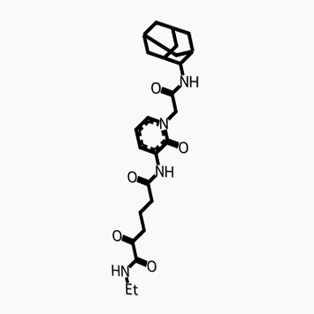 CCNC(=O)C(=O)CCCC(=O)Nc1cccn(CC(=O)NC2C3CC4CC(C3)CC2C4)c1=O